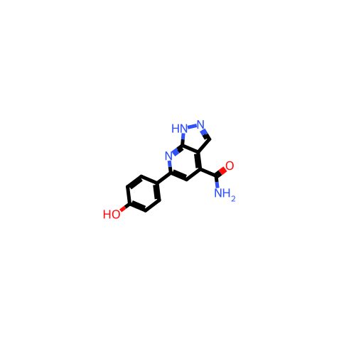 NC(=O)c1cc(-c2ccc(O)cc2)nc2[nH]ncc12